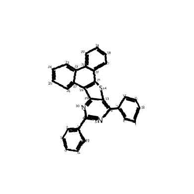 c1ccc(-c2nc(-c3ccccc3)c3sc4c5ccccc5c5ccccc5c4c3n2)cc1